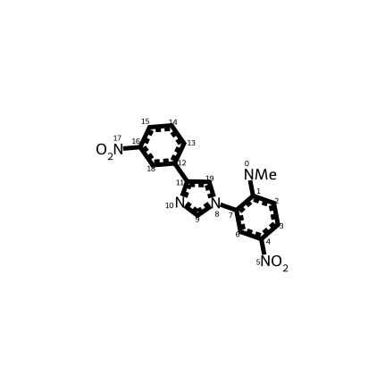 CNc1ccc([N+](=O)[O-])cc1-n1cnc(-c2cccc([N+](=O)[O-])c2)c1